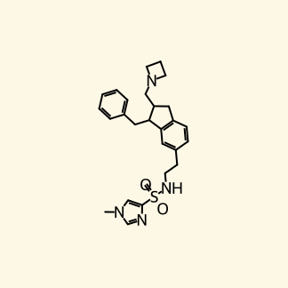 Cn1cnc(S(=O)(=O)NCCc2ccc3c(c2)C(Cc2ccccc2)C(CN2CCC2)C3)c1